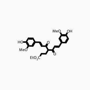 CCOC(=O)CCC(C(=O)C=Cc1ccc(O)c(OC)c1)C(=O)C=Cc1ccc(O)c(OC)c1